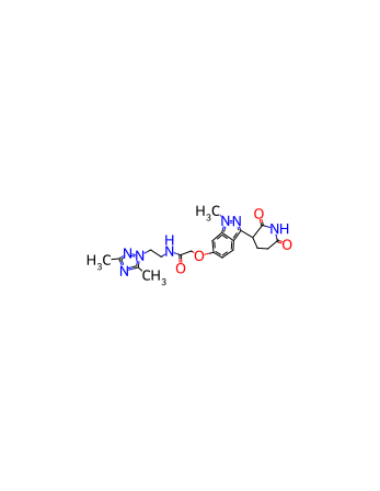 Cc1nc(C)n(CCNC(=O)COc2ccc3c(C4CCC(=O)NC4=O)nn(C)c3c2)n1